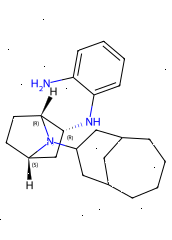 Nc1ccccc1N[C@@H]1C[C@@H]2CC[C@H]1N2C1CC2CCCCC(C2)C1